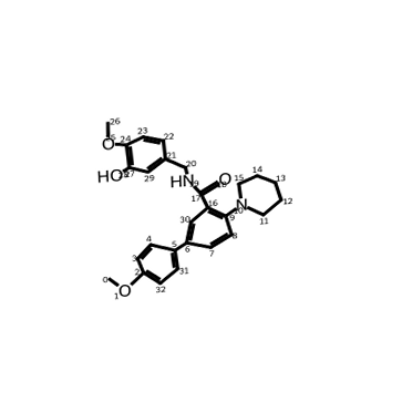 COc1ccc(-c2ccc(N3CCCCC3)c(C(=O)NCc3ccc(OC)c(O)c3)c2)cc1